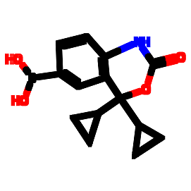 O=C1Nc2ccc(B(O)O)cc2C(C2CC2)(C2CC2)O1